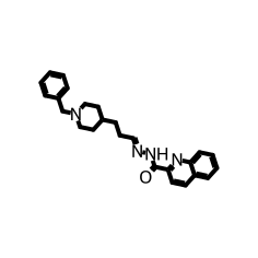 O=C(NN=CCCC1CCN(Cc2ccccc2)CC1)c1ccc2ccccc2n1